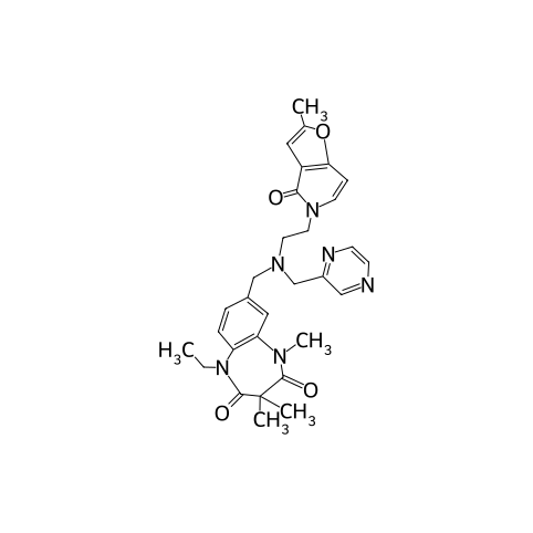 CCN1C(=O)C(C)(C)C(=O)N(C)c2cc(CN(CCn3ccc4oc(C)cc4c3=O)Cc3cnccn3)ccc21